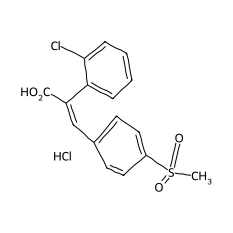 CS(=O)(=O)c1ccc(/C=C(/C(=O)O)c2ccccc2Cl)cc1.Cl